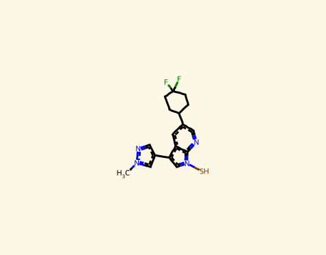 Cn1cc(-c2cn(S)c3ncc(C4CCC(F)(F)CC4)cc23)cn1